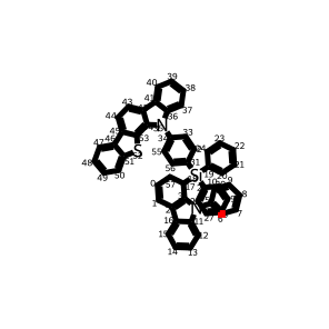 C1=Cc2c(n(-c3ccccc3)c3ccccc23)C([Si](c2ccccc2)(c2ccccc2)c2ccc(-n3c4ccccc4c4ccc5c6ccccc6sc5c43)cc2)C1